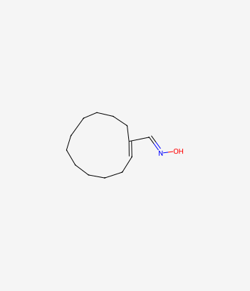 ON=CC1=CCCCCCCCCCC1